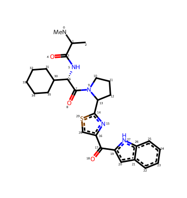 CNC(C)C(=O)N[C@H](C(=O)N1CCCC1c1nc(C(=O)c2cc3ccccc3[nH]2)cs1)C1CCCCC1